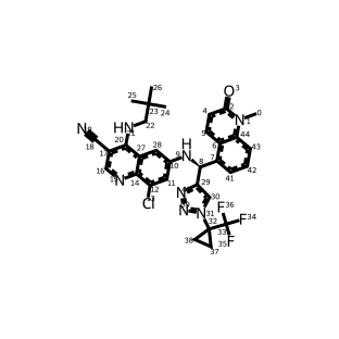 Cn1c(=O)ccc2c([C@H](Nc3cc(Cl)c4ncc(C#N)c(NCC(C)(C)C)c4c3)c3cn(C4(C(F)(F)F)CC4)nn3)cccc21